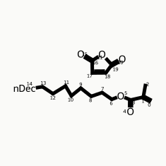 C=C(C)C(=O)OCCCCCCCCCCCCCCCCCC.O=C1C=CC(=O)O1